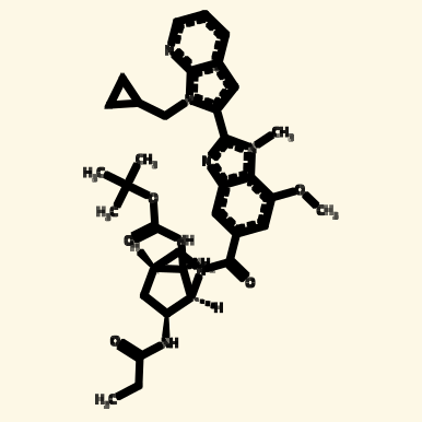 CCC(=O)N[C@H]1C[C@@H]2CN(C(=O)c3cc(OC)c4c(c3)nc(-c3cc5cccnc5n3CC3CC3)n4C)[C@@H]1[C@]2(N)NC(=O)OC(C)(C)C